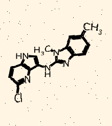 Cc1ccc2nc(Nc3c[nH]c4ccc(Cl)nc34)n(C)c2c1